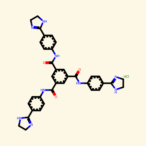 Cl.O=C(Nc1ccc(C2=NCCN2)cc1)c1cc(C(=O)Nc2ccc(C3=NCCN3)cc2)cc(C(=O)Nc2ccc(C3=NCCN3)cc2)c1